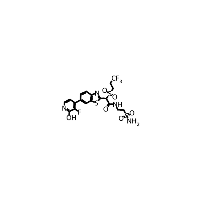 NS(=O)(=O)CCNC(=O)C(c1nc2ccc(-c3ccnc(O)c3F)cc2s1)S(=O)(=O)CCC(F)(F)F